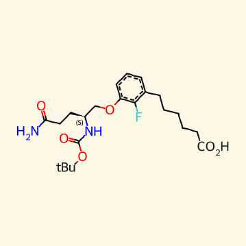 CC(C)(C)OC(=O)N[C@@H](CCC(N)=O)COc1cccc(CCCCCC(=O)O)c1F